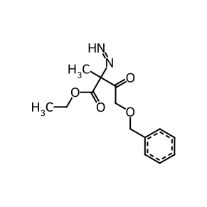 CCOC(=O)C(C)(N=N)C(=O)COCc1ccccc1